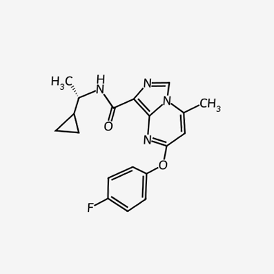 Cc1cc(Oc2ccc(F)cc2)nc2c(C(=O)N[C@@H](C)C3CC3)ncn12